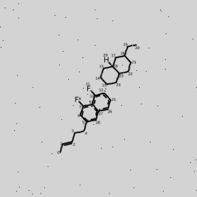 C/C=C/CCc1cc(F)c2c(F)c([C@@H]3CC[C@@H]4CC(CC)CCC4C3)ccc2c1